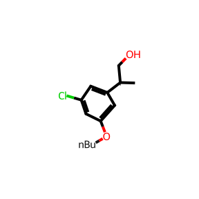 CCCCOc1cc(Cl)cc([C](C)CO)c1